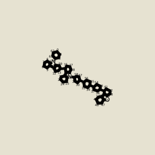 c1ccc(-n2c3ccccc3c3ccc(-c4cccc5c4c4ccccc4n5-c4ccc(-c5ccc(-c6ccc(-c7cccc8oc9ccccc9c78)cc6)cc5)cc4)cc32)cc1